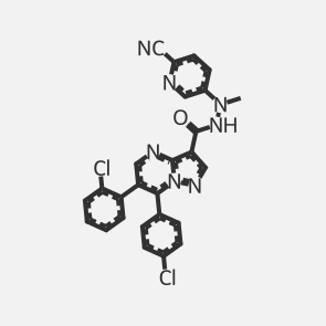 CN(NC(=O)c1cnn2c(-c3ccc(Cl)cc3)c(-c3ccccc3Cl)cnc12)c1ccc(C#N)nc1